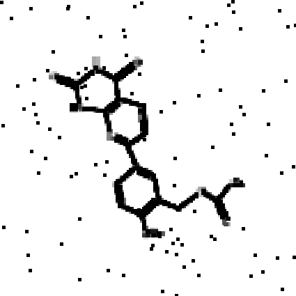 COc1ccc(-c2ccc3c(=O)[nH]c(=O)[nH]c3n2)cc1COC(=O)C(C)(C)C